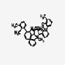 CC1=Cc2c(-c3cccc(C)c3C)cccc2C1[Si](C)(c1ccccc1)C1C(C)=Cc2c(-c3cccc(C)c3C)cccc21